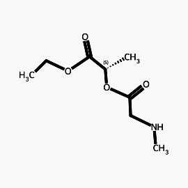 CCOC(=O)[C@H](C)OC(=O)CNC